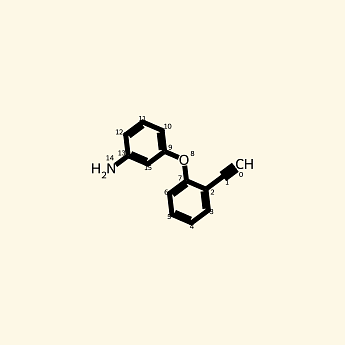 C#Cc1ccccc1Oc1cccc(N)c1